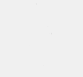 CC/C(=C\C1=C(C)C(=O)c2c([nH]c3cc(C#N)ccc23)C1(C)C)OCC1(C)COC1